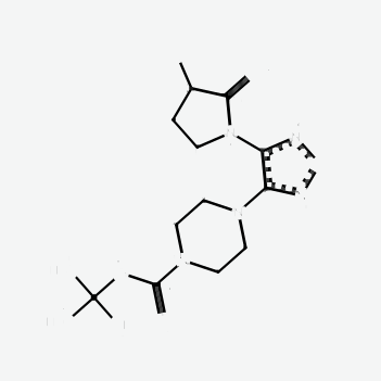 CC1CCN(c2nsnc2N2CCN(C(=O)OC(C)(C)C)CC2)C1=O